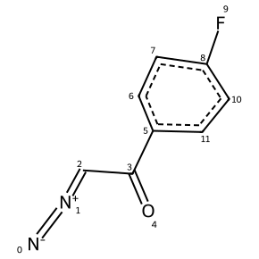 [N-]=[N+]=CC(=O)c1ccc(F)cc1